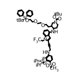 CC(C)[Si](Oc1cc(NCC#Cc2cc3c(NC4CCN(C(=O)OC(C)(C)C)CC4CCOCCOCCO[Si](c4ccccc4)(c4ccccc4)C(C)(C)C)cccc3n2CC(F)(F)F)ccc1S(C)(=O)=O)(C(C)C)C(C)C